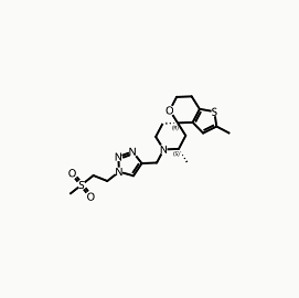 Cc1cc2c(s1)CCO[C@@]21CCN(Cc2cn(CCS(C)(=O)=O)nn2)[C@@H](C)C1